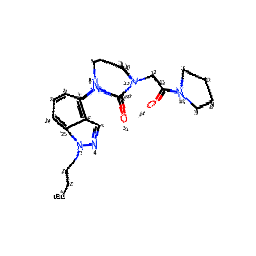 CC(C)(C)CCn1ncc2c(N3CCN(CC(=O)N4CCCC4)C3=O)cccc21